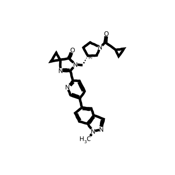 Cn1ncc2cc(-c3ccc(C4=NC5(CC5)C(=O)N4C[C@@H]4CCN(C(=O)C5CC5)C4)nc3)ccc21